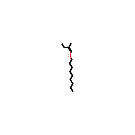 CCCCCCCCCOC=C(C)CC